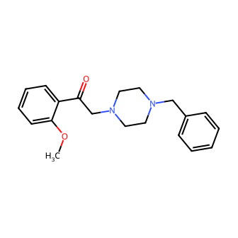 COc1ccccc1C(=O)CN1CCN(Cc2ccccc2)CC1